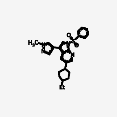 CCC1CCC(c2cnc3c(c2)c(-c2cnn(C)c2)cn3S(=O)(=O)c2ccccc2)CC1